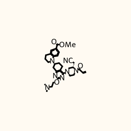 C=CC(=O)N1CCN(c2nc(OCCN(C)C)nc3c2CCC(N2CCCc4cc(C(=O)OC)ccc42)C3)C[C@@H]1CC#N